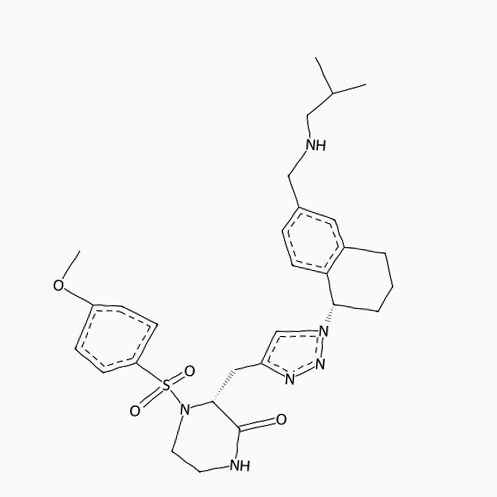 COc1ccc(S(=O)(=O)N2CCNC(=O)[C@H]2Cc2cn([C@H]3CCCc4cc(CNCC(C)C)ccc43)nn2)cc1